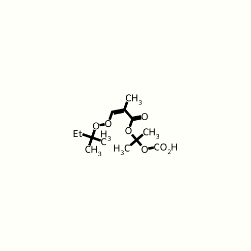 CCC(C)(C)OOC=C(C)C(=O)OC(C)(C)OC(=O)O